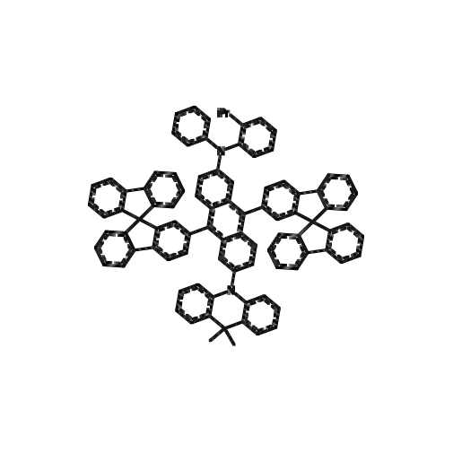 CC(C)c1ccccc1N(c1ccccc1)c1ccc2c(-c3ccc4c(c3)C3(c5ccccc5-c5ccccc53)c3ccccc3-4)c3cc(N4c5ccccc5C(C)(C)c5ccccc54)ccc3c(-c3ccc4c(c3)C3(c5ccccc5-c5ccccc53)c3ccccc3-4)c2c1